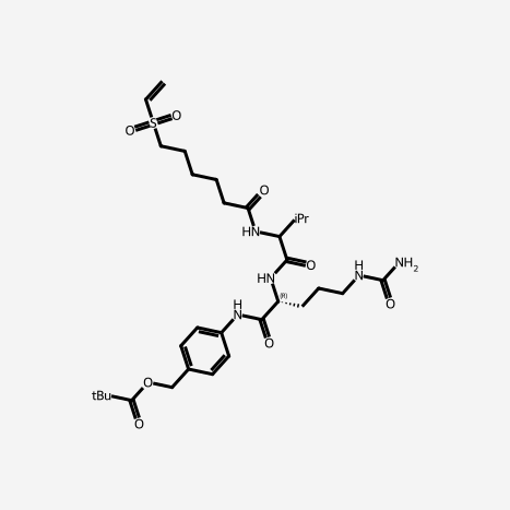 C=CS(=O)(=O)CCCCCC(=O)NC(C(=O)N[C@H](CCCNC(N)=O)C(=O)Nc1ccc(COC(=O)C(C)(C)C)cc1)C(C)C